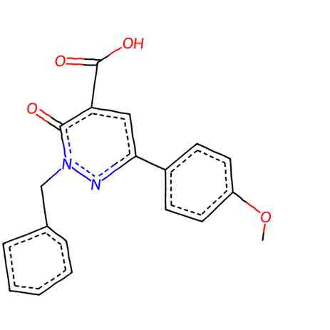 COc1ccc(-c2cc(C(=O)O)c(=O)n(Cc3ccccc3)n2)cc1